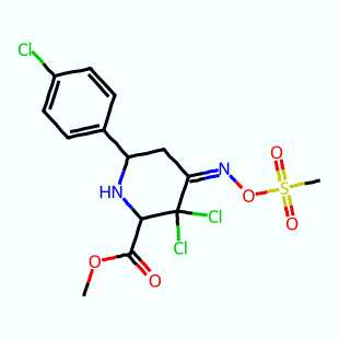 COC(=O)C1NC(c2ccc(Cl)cc2)CC(=NOS(C)(=O)=O)C1(Cl)Cl